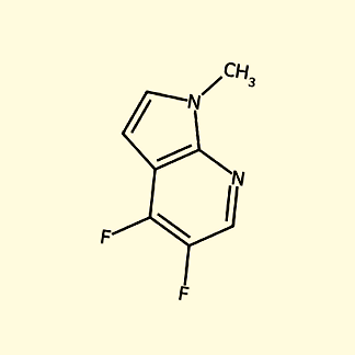 Cn1ccc2c(F)c(F)cnc21